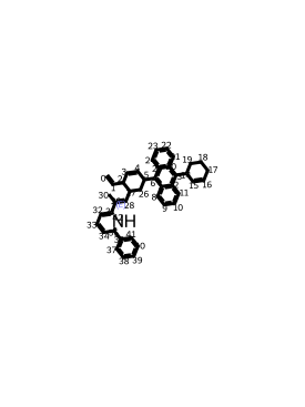 C=CC1C=CC(c2c3ccccc3c(C3C=CCCC3)c3ccccc23)CC1/C=C(\C)C1=CC=CC(c2ccccc2)N1